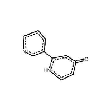 O=c1cc[nH]c(-c2cccnc2)c1